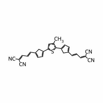 Cc1cc(C2=CC=C(/C=C/C=C(C#N)C#N)C2)sc1C1=CC=C(/C=C/C=C(C#N)C#N)C1